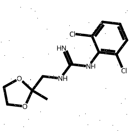 CC1(CNC(=N)Nc2c(Cl)cccc2Cl)OCCO1